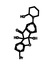 CC(C)c1ccc2c(c1)OC1(O)c3ccc(N4CCCCC4O)cc3C(=O)C21O